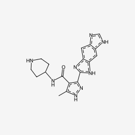 Cc1[nH]nc(-c2nc3cc4nc[nH]c4cc3[nH]2)c1C(=O)NC1CCNCC1